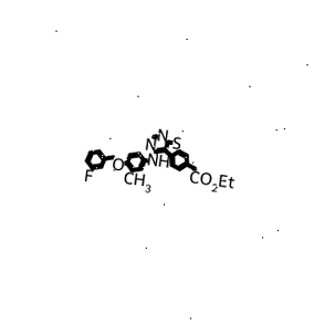 CCOC(=O)Cc1ccc2c(c1)sc1ncnc(Nc3ccc(OCc4cccc(F)c4)c(C)c3)c12